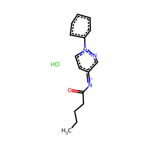 CCCCC(=O)/N=c1\ccn(-c2ccccc2)nc1.Cl